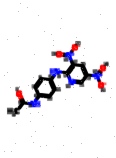 CC(=O)Nc1ccc(Nc2ncc([N+](=O)[O-])cc2[N+](=O)[O-])cc1